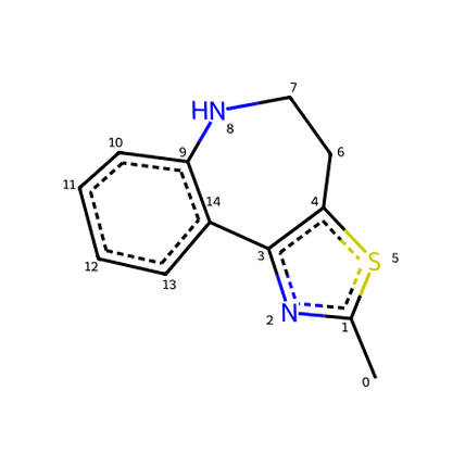 Cc1nc2c(s1)CCNc1ccccc1-2